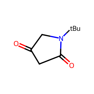 CC(C)(C)N1CC(=O)CC1=O